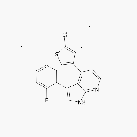 Fc1ccccc1-c1c[nH]c2nccc(-c3csc(Cl)c3)c12